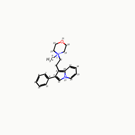 C[N+]1(CCc2c(-c3ccccc3)cn3ccccc23)CCOCC1